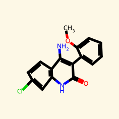 COc1ccccc1-c1c(N)c2ccc(Cl)cc2[nH]c1=O